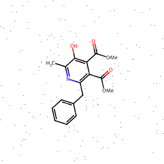 COC(=O)c1c(Cc2ccccc2)nc(C)c(O)c1C(=O)OC